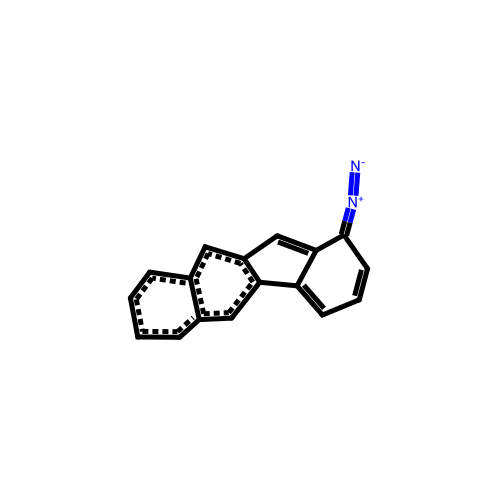 [N-]=[N+]=C1C=CC=C2C1=Cc1cc3ccccc3cc12